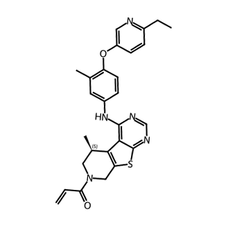 C=CC(=O)N1Cc2sc3ncnc(Nc4ccc(Oc5ccc(CC)nc5)c(C)c4)c3c2[C@H](C)C1